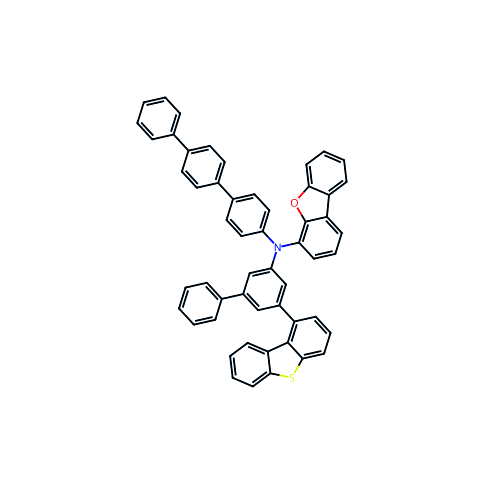 c1ccc(-c2ccc(-c3ccc(N(c4cc(-c5ccccc5)cc(-c5cccc6sc7ccccc7c56)c4)c4cccc5c4oc4ccccc45)cc3)cc2)cc1